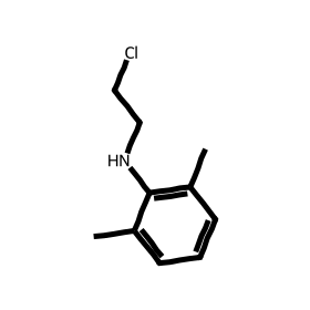 Cc1cccc(C)c1NCCCl